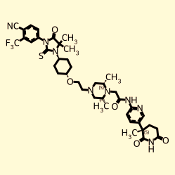 C[C@@H]1CN(CCO[C@H]2CC[C@H](N3C(=S)N(c4ccc(C#N)c(C(F)(F)F)c4)C(=O)C3(C)C)CC2)C[C@H](C)N1CC(=O)Nc1ccc([C@]2(C)CCC(=O)NC2=O)cn1